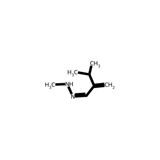 C=C(/C=N\NC)C(C)C